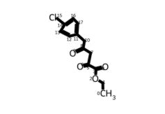 CCOC(=O)C(=O)CC(=O)Cc1ccc(Cl)cc1